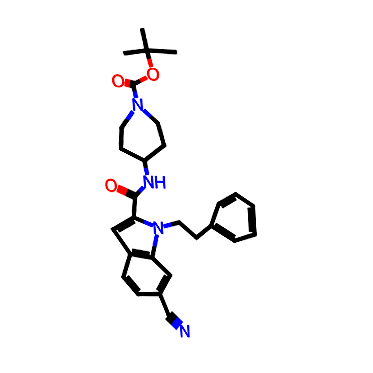 CC(C)(C)OC(=O)N1CCC(NC(=O)c2cc3ccc(C#N)cc3n2CCc2ccccc2)CC1